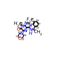 C[C@@H](Nc1ncnc2c1nc(N1CCOCC1)c(=O)n2C)c1cccc(C(F)(F)F)c1